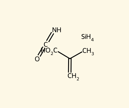 C=C(C)C(=O)O.N=C=O.[SiH4]